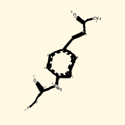 O=C(O)/C=C/c1ccc(NC(=O)CF)cc1